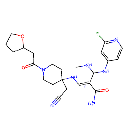 CNC(Nc1ccnc(F)c1)/C(=C\NC1(CC#N)CCN(C(=O)CC2CCCO2)CC1)C(N)=O